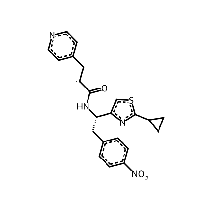 O=C([CH]Cc1ccncc1)N[C@@H](Cc1ccc([N+](=O)[O-])cc1)c1csc(C2CC2)n1